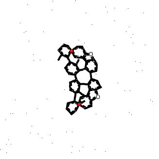 Cc1ccccc1-c1ccc2c(c1C)-c1c(ccc3oc4ccccc4c13)-c1ccc3oc4ccccc4c3c1-c1c-2ccc(-c2ccccc2C)c1C